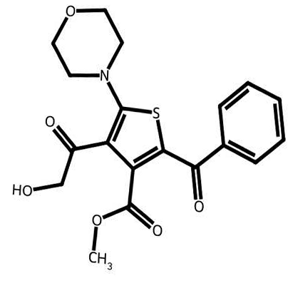 COC(=O)c1c(C(=O)c2ccccc2)sc(N2CCOCC2)c1C(=O)CO